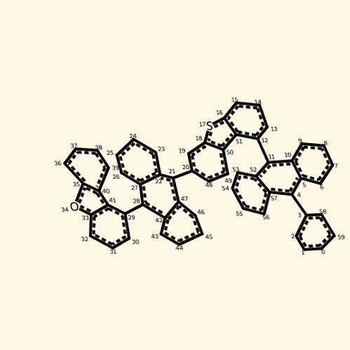 c1ccc(-c2c3ccccc3c(-c3cccc4sc5cc(-c6c7ccccc7c(-c7cccc8oc9ccccc9c78)c7ccccc67)ccc5c34)c3ccccc23)cc1